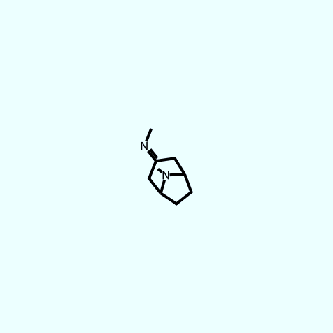 CN=C1CC2CCC(C1)N2C